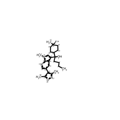 CCCCC(O)(c1cn(C)c2ncc(-c3c(C)noc3C)cc12)C1CCC(C)(F)CC1